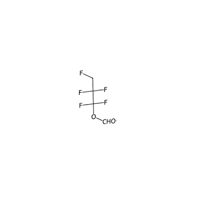 O=[C]OC(F)(F)C(F)(F)CF